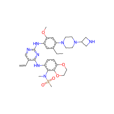 C=Cc1cnc(Nc2cc(CC)c(N3CCN(C4CNC4)CC3)cc2OC)nc1Nc1ccc2c(c1N(C)S(C)(=O)=O)OCCO2